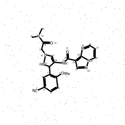 COc1ccc(C#N)cc1C1NN(CC(=O)N(C)C)C=C1NC(=O)c1cnn2cccnc12